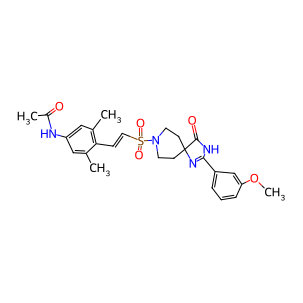 COc1cccc(C2=NC3(CCN(S(=O)(=O)/C=C/c4c(C)cc(NC(C)=O)cc4C)CC3)C(=O)N2)c1